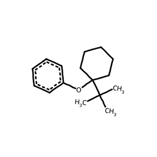 CC(C)(C)C1(Oc2ccccc2)CCCCC1